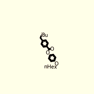 CCCCCCOc1ccc(OC(=O)c2ccc(CC(C)CC)cc2)cc1